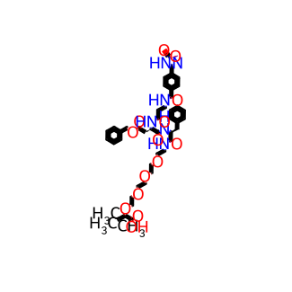 CC(C)(C)C(OCCOCCOCCOCCNC(=O)[C@H](Cc1ccccc1)NC(=O)[C@H](CC(=O)OCc1ccccc1)NC(=O)CCNC(=O)c1ccc(-c2noc(=O)[nH]2)cc1)C(=O)O